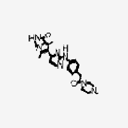 Cc1c(-c2ccnc(Nc3ccc(CC(=O)N4CCN(C)CC4)cc3)n2)c(C)n2c1C(=O)NCC2